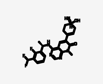 C[C@@H](Nc1ncnc2c1cc(C1=CC[SH](=N)(O)CC1)c(=O)n2C)c1cccc(C(F)F)c1F